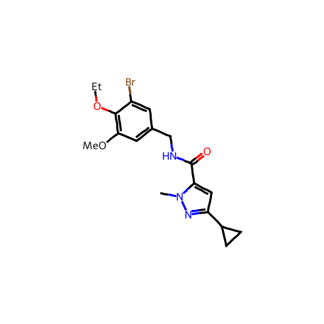 CCOc1c(Br)cc(CNC(=O)c2cc(C3CC3)nn2C)cc1OC